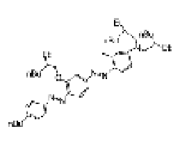 CCCCc1ccc(N=Nc2ccc(N=Nc3ccc(N(CC(CC)CCCC)CC(CC)CCCC)cc3C)cc2OCC(CC)CCCC)cc1